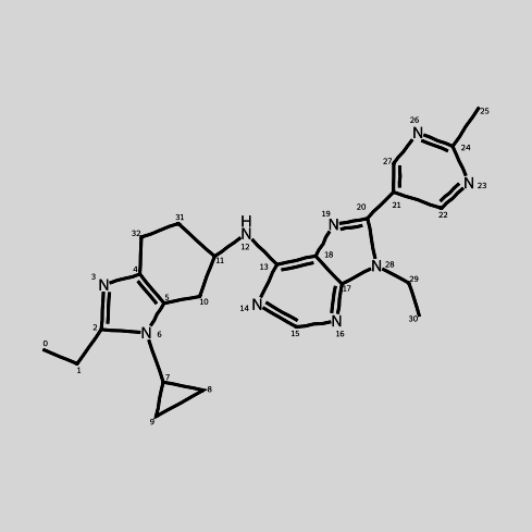 CCc1nc2c(n1C1CC1)CC(Nc1ncnc3c1nc(-c1cnc(C)nc1)n3CC)CC2